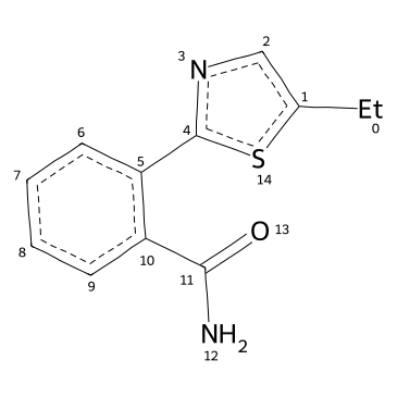 CCc1cnc(-c2ccccc2C(N)=O)s1